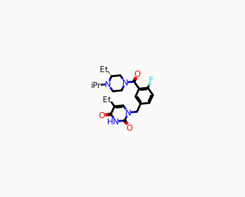 CCc1cn(Cc2ccc(F)c(C(=O)N3CCN(C(C)C)[C@H](CC)C3)c2)c(=O)[nH]c1=O